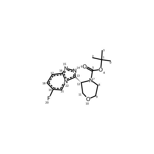 CC(C)(C)OC(=O)N1CCOC[C@@H]1c1nnc2ccc(F)cn12